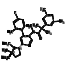 Cc1cc(F)ccc1-c1cc([C@@H]2CC[C@@](C)(C(=O)O)N2C(=O)O)ncc1N(C)C(=O)C(C)(C)c1cc(C(F)(F)F)cc(C(F)(F)F)c1